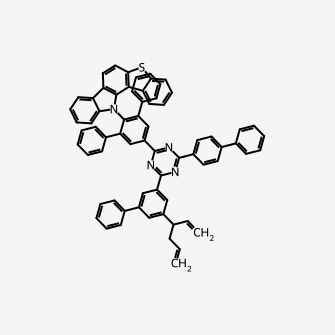 C=CCC(C=C)c1cc(-c2ccccc2)cc(-c2nc(-c3ccc(-c4ccccc4)cc3)nc(-c3cc(-c4ccccc4)c(-n4c5ccccc5c5ccc6sc7ccccc7c6c54)c(-c4ccccc4)c3)n2)c1